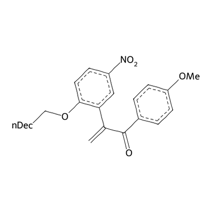 C=C(C(=O)c1ccc(OC)cc1)c1cc([N+](=O)[O-])ccc1OCCCCCCCCCCC